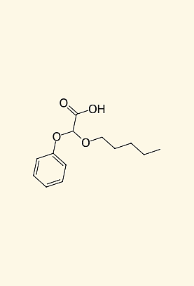 CCCCCOC(Oc1ccccc1)C(=O)O